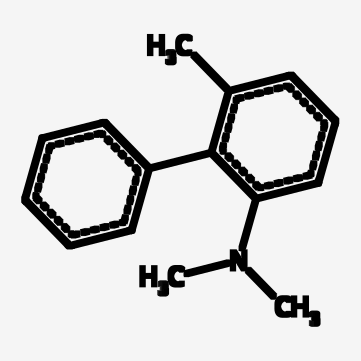 Cc1cccc(N(C)C)c1-c1ccccc1